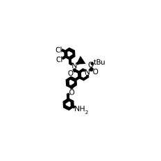 CC(C)(C)OC(=O)N1CCC(c2cccc(OCc3cccc(N)c3)c2)=C(C(=O)N(Cc2cccc(Cl)c2Cl)C2CC2)C1